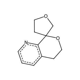 c1cnc2c(c1)CCOC21CCOC1